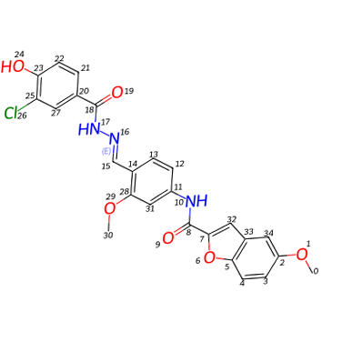 COc1ccc2oc(C(=O)Nc3ccc(/C=N/NC(=O)c4ccc(O)c(Cl)c4)c(OC)c3)cc2c1